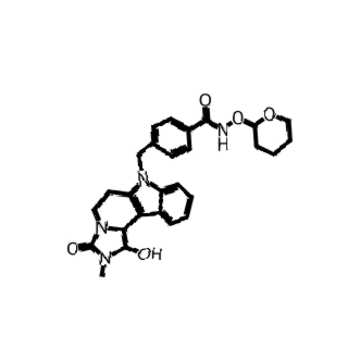 CN1C(=O)N2CCc3c(c4ccccc4n3Cc3ccc(C(=O)NOC4CCCCO4)cc3)C2C1O